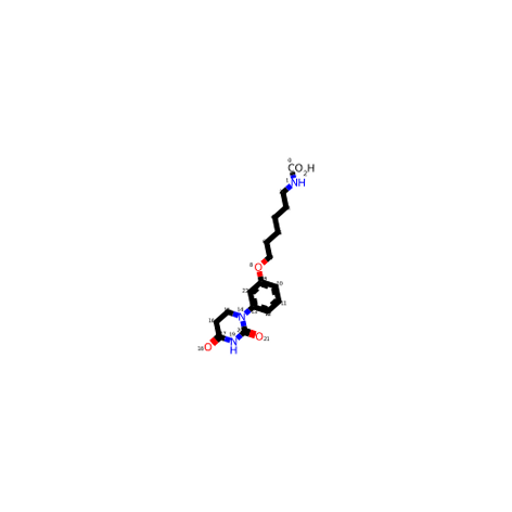 O=C(O)NCCCCCCOc1cccc(N2CCC(=O)NC2=O)c1